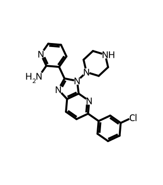 Nc1ncccc1-c1nc2ccc(-c3cccc(Cl)c3)nc2n1N1CCNCC1